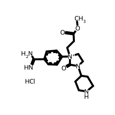 COC(=O)CC[N+]1(c2ccc(C(=N)N)cc2)CCN(C2CCNCC2)C1=O.Cl